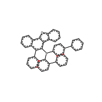 c1ccc(-c2ccc(N(c3ccccc3-c3ccccc3)c3c(-c4ccccc4)c4ccccc4c4oc5ccccc5c34)cc2)cc1